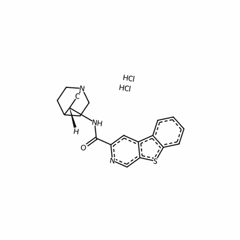 Cl.Cl.O=C(N[C@H]1CN2CCC1CC2)c1cc2c(cn1)sc1ccccc12